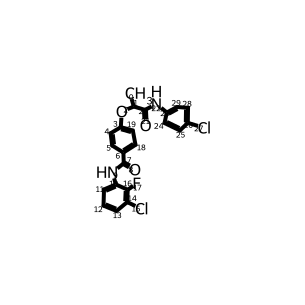 CC(Oc1ccc(C(=O)Nc2cccc(Cl)c2F)cc1)C(=O)Nc1ccc(Cl)cc1